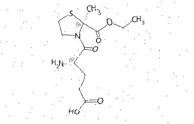 CCOC(=O)[C@]1(C)SCCN1C(=O)[C@@H](N)CCC(=O)O